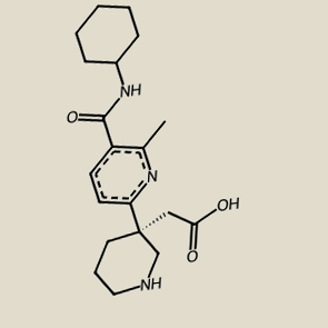 Cc1nc([C@]2(CC(=O)O)CCCNC2)ccc1C(=O)NC1CCCCC1